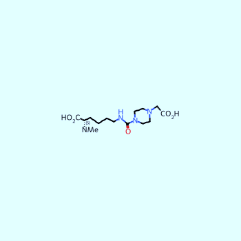 CN[C@@H](CCCCNC(=O)N1CCN(CC(=O)O)CC1)C(=O)O